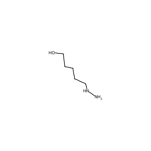 NNCCCCCO